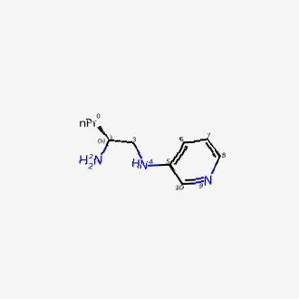 CCC[C@H](N)CNc1cccnc1